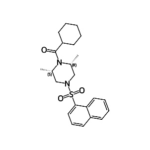 C[C@@H]1CN(S(=O)(=O)c2cccc3ccccc23)C[C@H](C)N1C(=O)C1CCCCC1